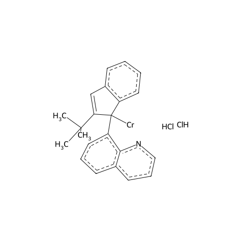 CC(C)(C)C1=Cc2ccccc2[C]1([Cr])c1cccc2cccnc12.Cl.Cl